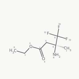 CCOC(=O)C[C@](C)(N)C(F)(F)F